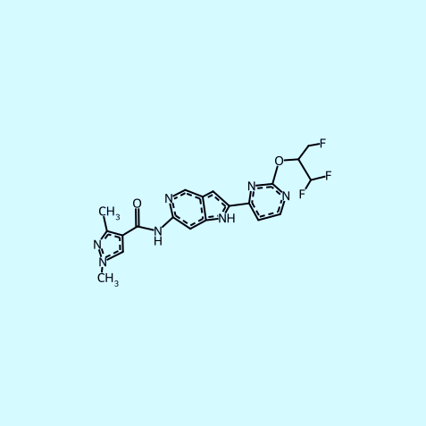 Cc1nn(C)cc1C(=O)Nc1cc2[nH]c(-c3ccnc(OC(CF)C(F)F)n3)cc2cn1